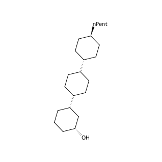 CCCCC[C@H]1CC[C@H](C2CCC([C@H]3CCC[C@@H](O)C3)CC2)CC1